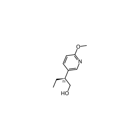 CC[C@H](CO)c1ccc(OC)nc1